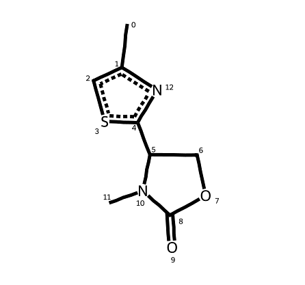 Cc1csc(C2COC(=O)N2C)n1